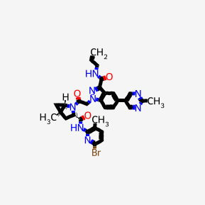 C=CCNC(=O)c1nn(CC(=O)N2[C@H](C(=O)Nc3nc(Br)ccc3C)C[C@@]3(C)C[C@@H]23)c2ccc(-c3cnc(C)nc3)cc12